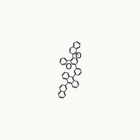 c1cc(-c2c3ccccc3c(-c3ccc4ccccc4c3)c3ccccc23)cc(-c2cc3oc4c5ccccc5ccc4c3c3c2oc2ccccc23)c1